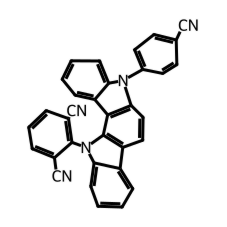 N#Cc1ccc(-n2c3ccccc3c3c2ccc2c4ccccc4n(-c4c(C#N)cccc4C#N)c23)cc1